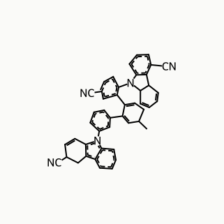 CC1C=C(c2cccc(-n3c4c(c5ccccc53)CC(C#N)C=C4)c2)C(c2cc(C#N)ccc2N2c3cccc(C#N)c3C3C=CC=CC32)=CC1